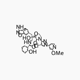 COc1cc(-n2cc(Cl)c(N3CCO[C@H](C(O)(CNC(=O)c4ccccc4O)Cc4ccc5c(N)noc5c4)C3=O)n2)ccn1